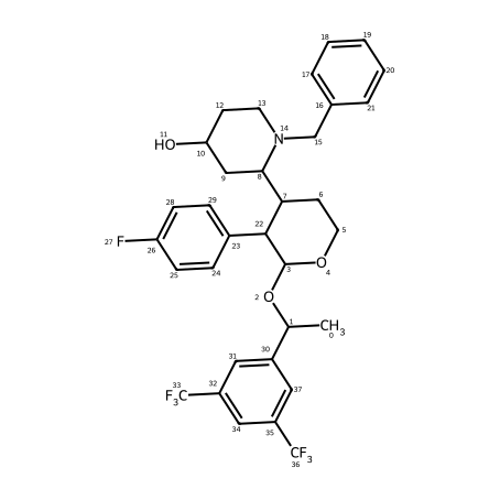 CC(OC1OCCC(C2CC(O)CCN2Cc2ccccc2)C1c1ccc(F)cc1)c1cc(C(F)(F)F)cc(C(F)(F)F)c1